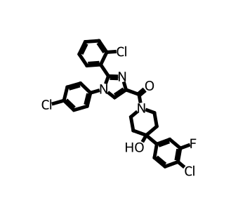 O=C(c1cn(-c2ccc(Cl)cc2)c(-c2ccccc2Cl)n1)N1CCC(O)(c2ccc(Cl)c(F)c2)CC1